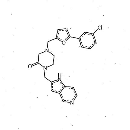 O=C1CN(Cc2ccc(-c3cccc(Cl)c3)o2)CCN1Cc1cc2cnccc2[nH]1